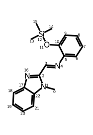 Cn1c(C=Nc2ccccc2O[Si](C)(C)C)nc2ccccc21